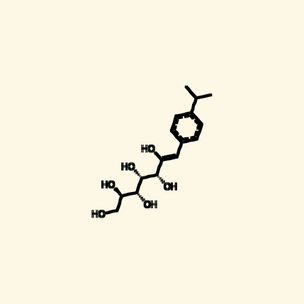 CC(C)c1ccc(C=C(O)[C@H](O)[C@@H](O)[C@H](O)[C@H](O)CO)cc1